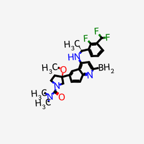 Bc1cc(N[C@H](C)c2cccc(C(F)F)c2F)c2cc([C@@]3(OC)CCN(C(=O)N(C)C)C3)ccc2n1